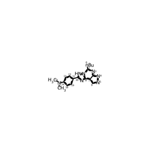 CCCCc1nc2nncc-2c2nc(-c3ccc(N(C)C)cc3)[nH]n12